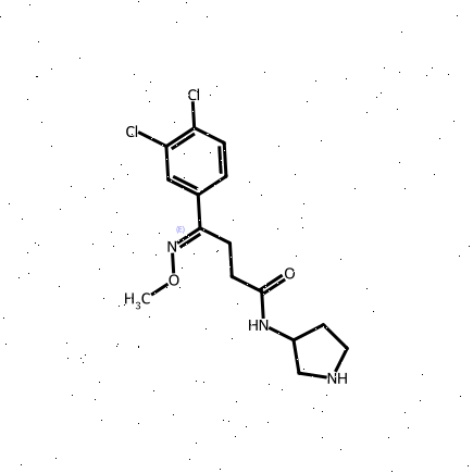 CO/N=C(\CCC(=O)NC1CCNC1)c1ccc(Cl)c(Cl)c1